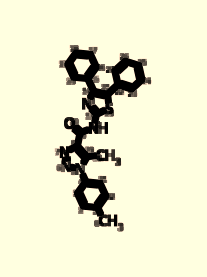 Cc1ccc(-n2nnc(C(=O)Nc3nc(-c4ccccc4)c(-c4ccccc4)s3)c2C)cc1